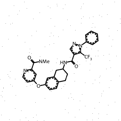 CNC(=O)c1cc(Oc2ccc3c(c2)CC(NC(=O)c2cnn(-c4ccccc4)c2C(F)(F)F)CC3)ccn1